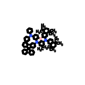 Cc1cc2c3c(c1)N(c1ccc4c(c1)C(C)(C)CCC4(C)C)c1cc4c(cc1B3c1ccc(N(c3ccccc3)c3ccccc3)cc1N2c1ccc2c(c1)-c1ccccc1C2(c1ccccc1)c1ccccc1)C(C)(C)CCC4(C)C